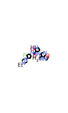 CCN1CCN(c2ccc(NC(=O)c3c(Nc4cnc5c(c4C)NCCO5)cc[nH]c3=O)cc2F)CC1